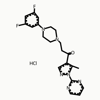 Cc1c(C(=O)CCN2CCN(c3cc(F)cc(F)c3)CC2)cnn1-c1ncccn1.Cl